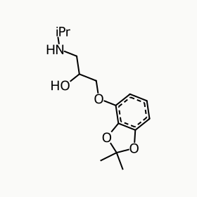 CC(C)NCC(O)COc1cccc2c1OC(C)(C)O2